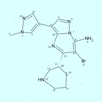 Cn1cc(-c2cnn3c(N)c(Br)c([C@H]4CNCCS4)nc23)cn1